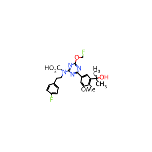 COc1ccc(-c2nc(OCF)nc(N(CCc3ccc(F)cc3)C(=O)O)n2)cc1C(C)(C)O